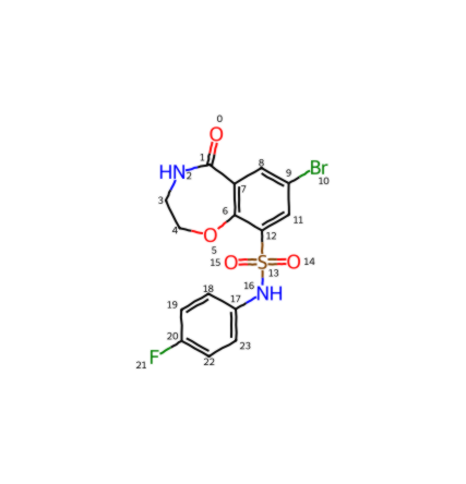 O=C1NCCOc2c1cc(Br)cc2S(=O)(=O)Nc1ccc(F)cc1